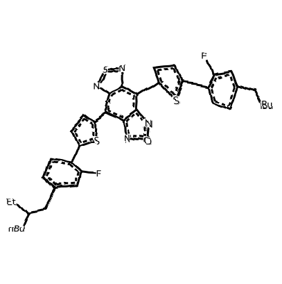 CCCCC(CC)Cc1ccc(-c2ccc(-c3c4c(c(-c5ccc(-c6ccc(CC(C)CC)cc6F)s5)c5nonc35)N=S=N4)s2)c(F)c1